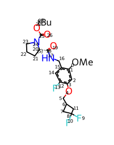 COc1cc(OCC2CC(F)(F)C2)c(F)cc1CNC(=O)[C@@H]1CCCN1C(=O)OC(C)(C)C